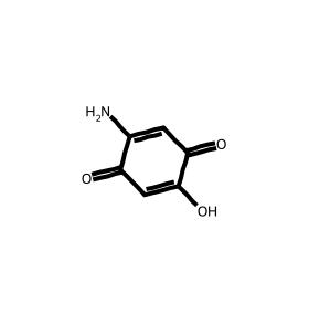 NC1=CC(=O)C(O)=CC1=O